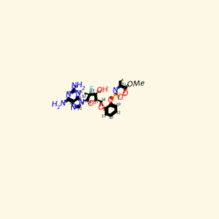 COC(=O)C(C)/N=[P+](\[O-])Oc1ccccc1OC[C@H]1O[C@@H](n2cnc3c(N)nc(N)nc32)[C@](C)(F)[C@@H]1O